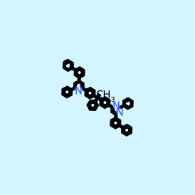 CC(c1ccccc1)(c1ccc(C2=CC(c3cccc(C4=CC#CCC4)c3)CC(c3ccccc3)=N2)cc1)c1ccc(-c2cc(-c3cccc(-c4ccccc4)c3)nc(C3=CCCC=C3)n2)cc1